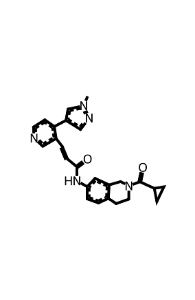 Cn1cc(-c2ccncc2C=CC(=O)Nc2ccc3c(c2)CN(C(=O)C2CC2)CC3)cn1